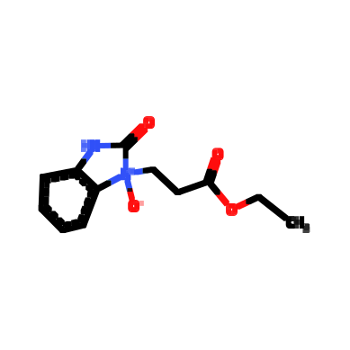 CCOC(=O)CC[N+]1([O-])C(=O)Nc2ccccc21